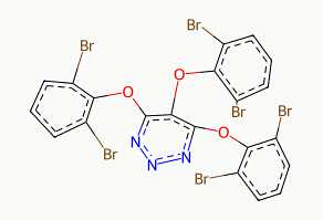 Brc1cccc(Br)c1Oc1nnnc(Oc2c(Br)cccc2Br)c1Oc1c(Br)cccc1Br